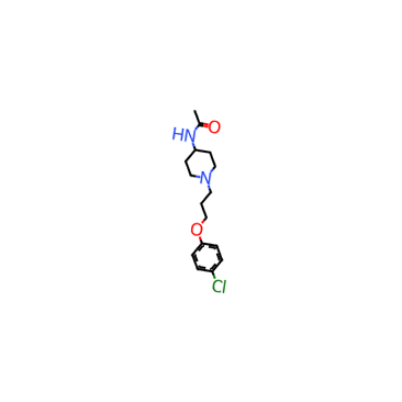 CC(=O)NC1CCN(CCCOc2ccc(Cl)cc2)CC1